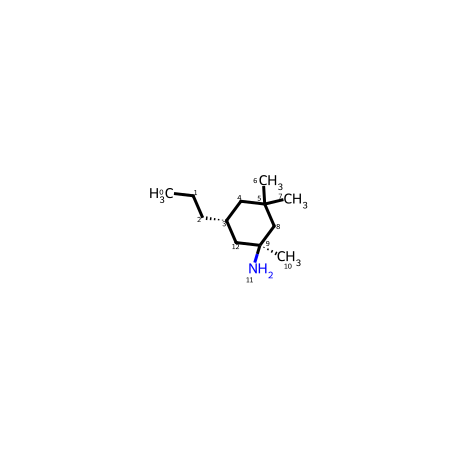 CCC[C@@H]1CC(C)(C)C[C@@](C)(N)C1